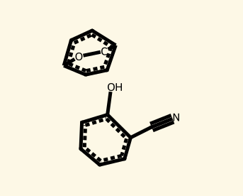 N#Cc1ccccc1O.c1cc2ccc1CO2